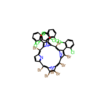 Clc1cccc(Cl)c1C1=C(Br)c2nc1c(Br)c1c(-c3c(Cl)cccc3Cl)c(-c3c(Cl)cccc3Cl)c(c(Br)c3nc(c(Br)c4c(Br)c(Br)c(c2Br)n4Br)C=C3)n1-c1c(Cl)cccc1Cl